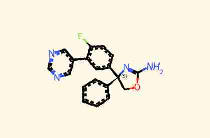 NC1=N[C@@](c2ccccc2)(c2ccc(F)c(-c3cncnc3)c2)CO1